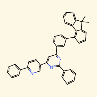 CC1(C)c2ccccc2-c2c(-c3cccc(-c4cc(-c5ccc(-c6ccccc6)nc5)nc(-c5ccccc5)n4)c3)cccc21